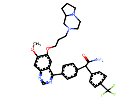 COc1cc2ncnc(-c3ccc(C(C(N)=O)c4ccc(C(F)(F)F)cc4)cc3)c2cc1OCCCN1CCN2CCCC2C1